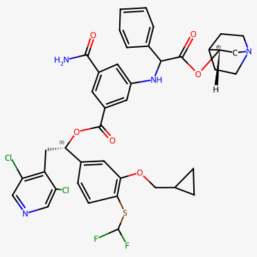 NC(=O)c1cc(NC(C(=O)O[C@H]2CN3CCC2CC3)c2ccccc2)cc(C(=O)O[C@@H](Cc2c(Cl)cncc2Cl)c2ccc(SC(F)F)c(OCC3CC3)c2)c1